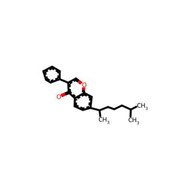 CC(C)CCCC(C)c1ccc2c(=O)c(-c3ccccc3)coc2c1